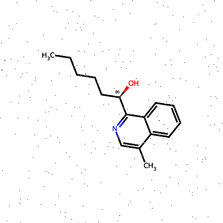 CCCCC[C@@H](O)c1ncc(C)c2ccccc12